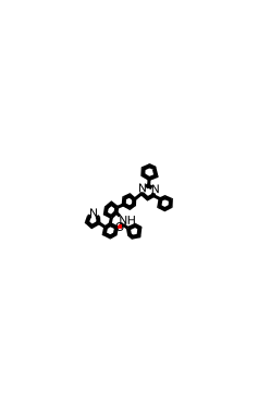 O=C(Nc1c(-c2ccc(-c3cc(-c4ccccc4)nc(-c4ccccc4)n3)cc2)cccc1-c1ccccc1-c1cccnc1)c1ccccc1